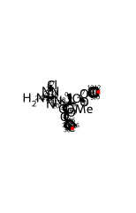 C#CC(COC(=O)OC12CCC(CC1)CC2)(OC)[C@H](Cn1cnc2c(N)nc(Cl)nc21)OC(=O)OC12CCC(CC1)CC2